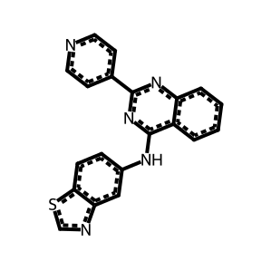 c1ccc2c(Nc3ccc4scnc4c3)nc(-c3ccncc3)nc2c1